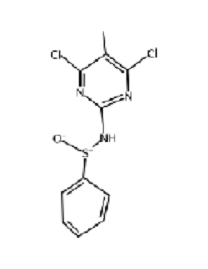 Cc1c(Cl)nc(N[S+]([O-])c2ccccc2)nc1Cl